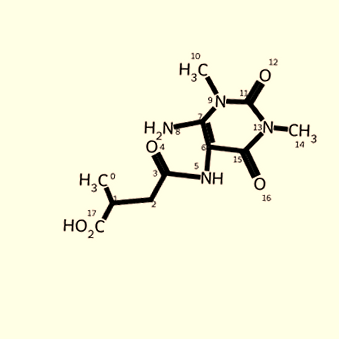 CC(CC(=O)Nc1c(N)n(C)c(=O)n(C)c1=O)C(=O)O